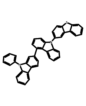 c1ccc(-n2c3ccccc3c3ccc(-c4cccc5c4c4ccccc4n5-c4ccc5sc6ccccc6c5c4)cc32)cc1